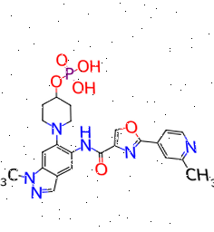 Cc1cc(-c2nc(C(=O)Nc3cc4cnn(C)c4cc3N3CCC(OP(=O)(O)O)CC3)co2)ccn1